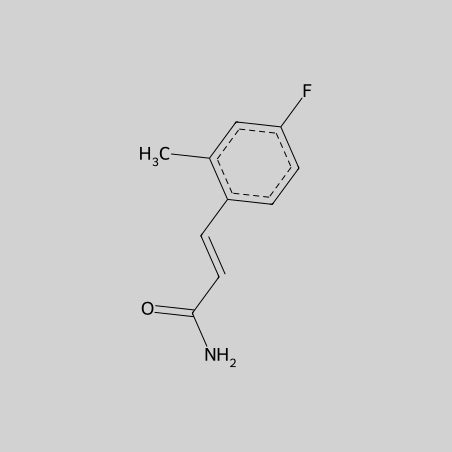 Cc1cc(F)ccc1C=CC(N)=O